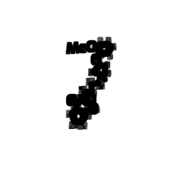 COc1ccccc1OC1CCN(CCCCN2C(=O)c3ccccc3S2(=O)=O)C1